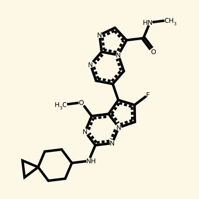 CNC(=O)c1cnc2ncc(-c3c(F)cn4nc(NC5CCC6(CC5)CC6)nc(OC)c34)cn12